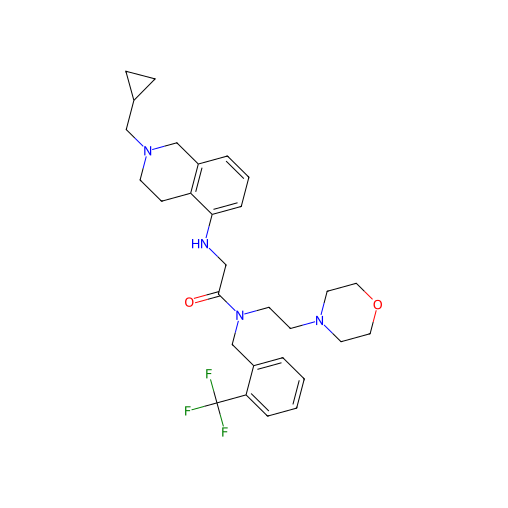 O=C(CNc1cccc2c1CCN(CC1CC1)C2)N(CCN1CCOCC1)Cc1ccccc1C(F)(F)F